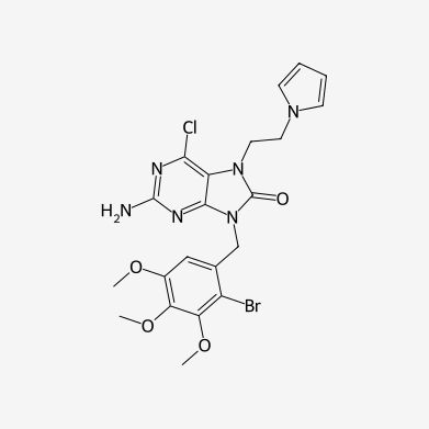 COc1cc(Cn2c(=O)n(CCn3cccc3)c3c(Cl)nc(N)nc32)c(Br)c(OC)c1OC